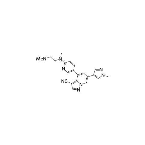 CNCCN(C)c1ccc(-c2cc(-c3cnn(C)c3)cn3ncc(C#N)c23)cn1